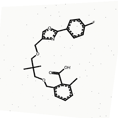 Cc1cccc(COCC(C)(C)COCc2coc(-c3ccc(F)cc3)n2)c1C(=O)O